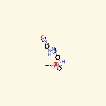 CCCCOC(=O)N1CCCC1(C)C(=O)Nc1ccc(-c2ccnc(Nc3ccc(N4CCOCC4)cc3)n2)cc1